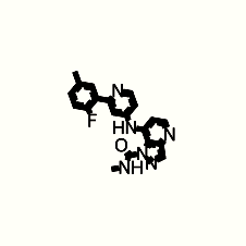 CNC(=O)n1ncc2nccc(Nc3ccnc(-c4cc(C)ccc4F)c3)c21